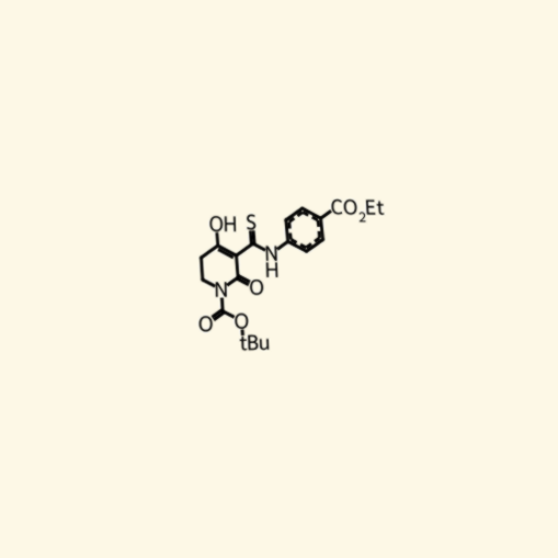 CCOC(=O)c1ccc(NC(=S)C2=C(O)CCN(C(=O)OC(C)(C)C)C2=O)cc1